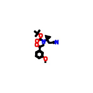 COc1cccc(C(=O)CN(C(=O)OC(C)(C)C)C2(CC#N)CC2)c1